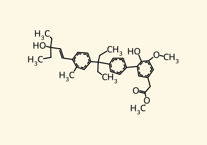 CCC(O)(C=Cc1ccc(C(CC)(CC)c2ccc(-c3cc(CC(=O)OC)cc(OC)c3O)cc2)cc1C)CC